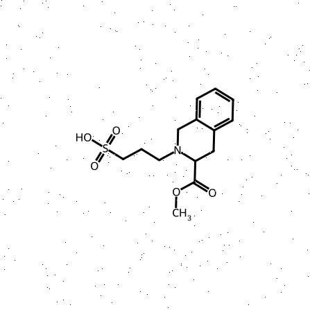 COC(=O)C1Cc2ccccc2CN1CCCS(=O)(=O)O